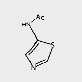 CC(=O)Nc1cncs1